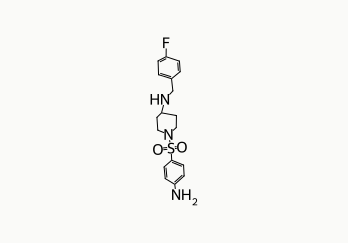 Nc1ccc(S(=O)(=O)N2CCC(NCc3ccc(F)cc3)CC2)cc1